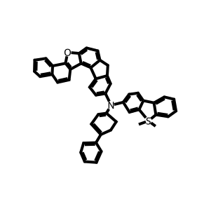 CS1(C)c2ccccc2-c2ccc(N(C3=CC=C(c4ccccc4)CC3)c3ccc4c(c3)Cc3ccc5oc6c7ccccc7ccc6c5c3-4)cc21